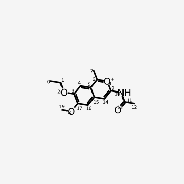 CCOc1cc2c(C)[o+]c(NC(C)=O)cc2cc1OC